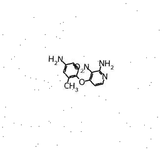 Cc1cc(N)ccc1Oc1ccnc(N)c1[N+](=O)[O-]